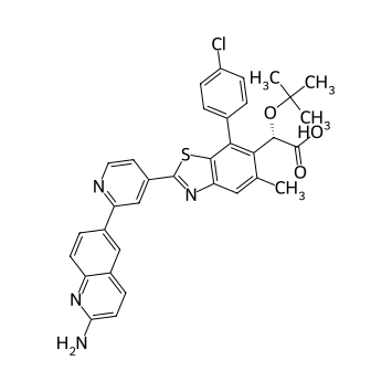 Cc1cc2nc(-c3ccnc(-c4ccc5nc(N)ccc5c4)c3)sc2c(-c2ccc(Cl)cc2)c1[C@H](OC(C)(C)C)C(=O)O